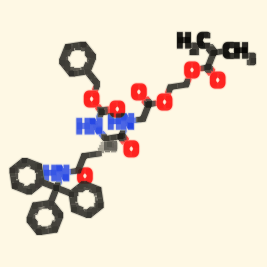 C=C(C)C(=O)OCCOC(=O)CNC(=O)[C@H](CCC(=O)NC(c1ccccc1)(c1ccccc1)c1ccccc1)NC(=O)OCc1ccccc1